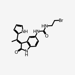 CC(=C1C(=O)Nc2ccc(NC(=O)NCCBr)cc21)c1ccc[nH]1